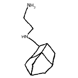 NCCNC1C2CC3CC(C2)CC1C3